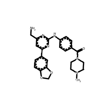 CN1CCN(C(=O)c2ccc(Nc3nc(CN)cc(-c4ccc5c(c4)OCO5)n3)cc2)CC1